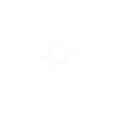 Cc1ccc(C)c(OCC(C)C)n1